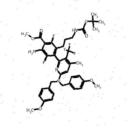 COC(=O)c1c(N)c(F)c(-c2nc(N(Cc3ccc(OC)cc3)Cc3ccc(OC)cc3)cc(C)c2C(F)(F)F)c(CCCNC(=O)OC(C)(C)C)c1F